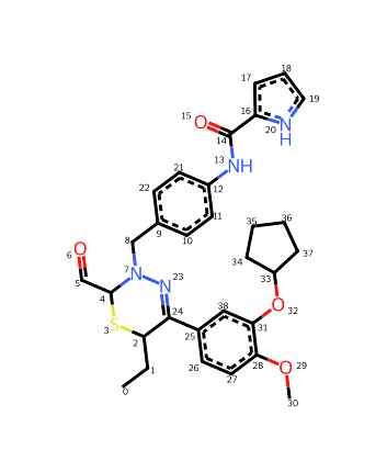 CCC1SC(C=O)N(Cc2ccc(NC(=O)c3ccc[nH]3)cc2)N=C1c1ccc(OC)c(OC2CCCC2)c1